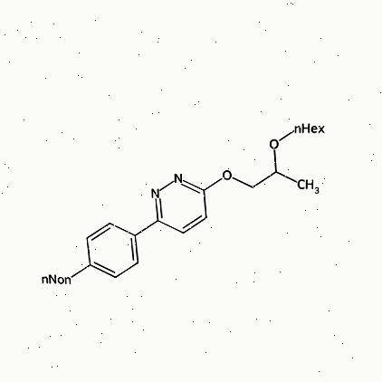 CCCCCCCCCc1ccc(-c2ccc(OCC(C)OCCCCCC)nn2)cc1